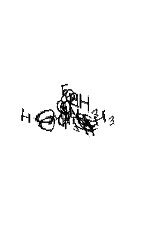 COc1cc(S(=O)(=O)N2C[C@H](CCC(=O)O)Oc3c(F)cc(NC(=O)OC(C)(C)C(F)(F)F)cc32)ccc1F